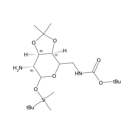 CC(C)(C)OC(=O)NCC1OC(O[Si](C)(C)C(C)(C)C)[C@H](N)[C@H]2OC(C)(C)O[C@@H]12